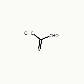 O=[C]C(=S)C=O